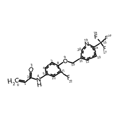 C=CC(=O)Nc1ccc(OCc2ccc(C(F)(F)F)nc2)c(F)c1